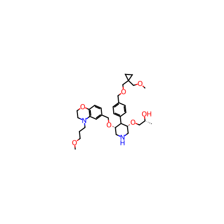 COCCCN1CCOc2ccc(CO[C@H]3CNC[C@@H](OC[C@@H](C)O)C3c3ccc(COCC4(COC)CC4)cc3)cc21